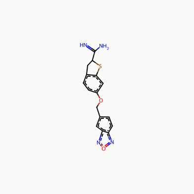 N=C(N)C1Cc2ccc(OCc3ccc4nonc4c3)cc2S1